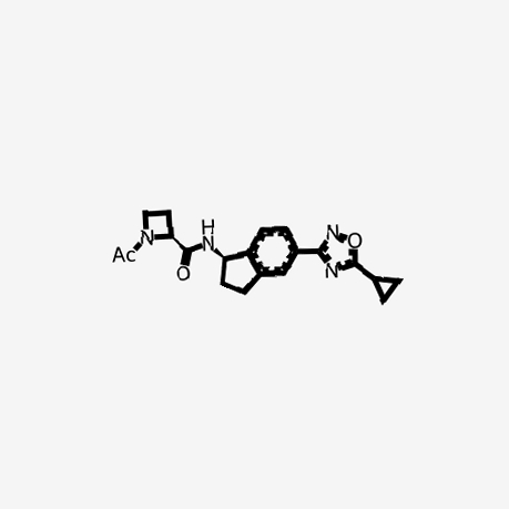 CC(=O)N1CC[C@H]1C(=O)N[C@@H]1CCc2cc(-c3noc(C4CC4)n3)ccc21